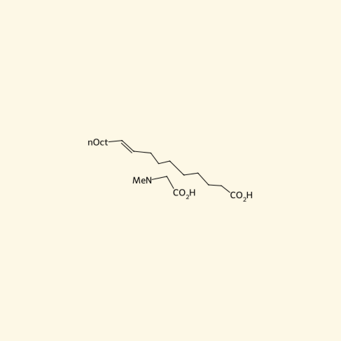 CCCCCCCCC=CCCCCCCCC(=O)O.CNCC(=O)O